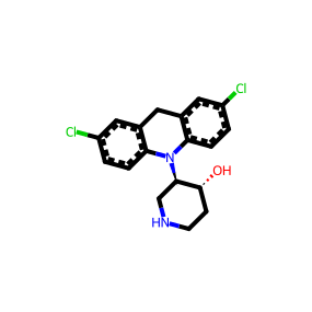 O[C@@H]1CCNC[C@H]1N1c2ccc(Cl)cc2Cc2cc(Cl)ccc21